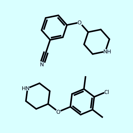 Cc1cc(OC2CCNCC2)cc(C)c1Cl.N#Cc1cccc(OC2CCNCC2)c1